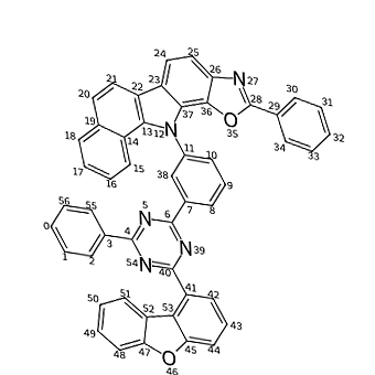 c1ccc(-c2nc(-c3cccc(-n4c5c6ccccc6ccc5c5ccc6nc(-c7ccccc7)oc6c54)c3)nc(-c3cccc4oc5ccccc5c34)n2)cc1